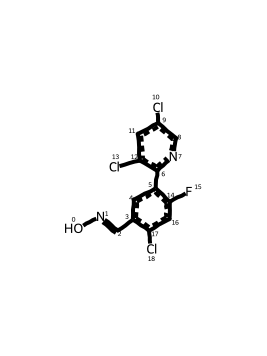 ON=Cc1cc(-c2ncc(Cl)cc2Cl)c(F)cc1Cl